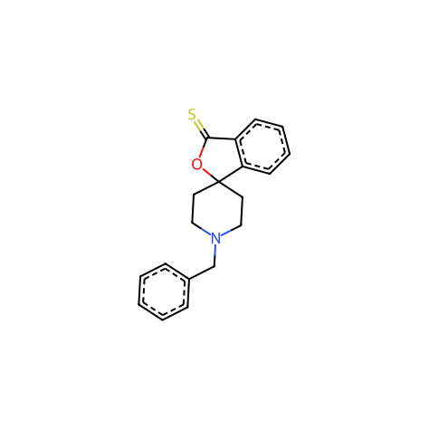 S=C1OC2(CCN(Cc3ccccc3)CC2)c2ccccc21